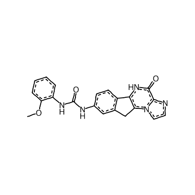 COc1ccccc1NC(=O)Nc1ccc2c(c1)Cc1c-2[nH]c(=O)c2nccn12